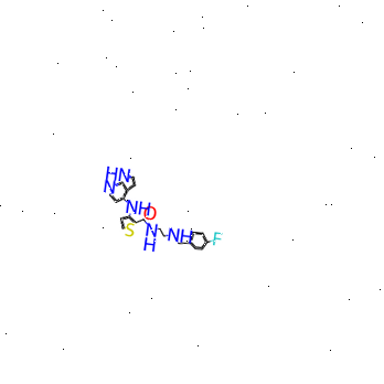 O=C(NCCNCc1ccc(F)cc1)c1sccc1Nc1ccnc2[nH]ccc12